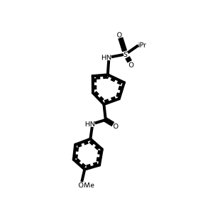 COc1ccc(NC(=O)c2ccc(NS(=O)(=O)C(C)C)cc2)cc1